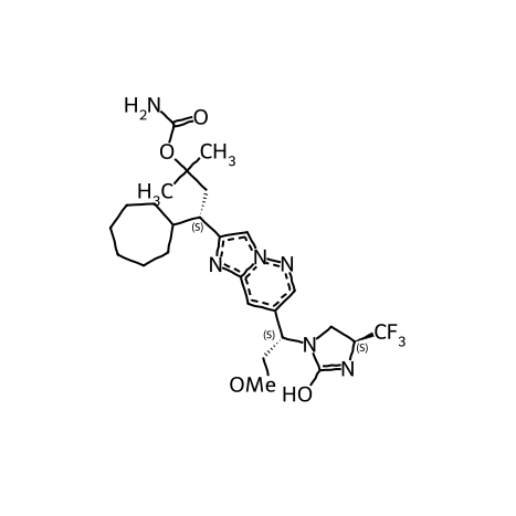 COC[C@H](c1cnn2cc([C@@H](CC(C)(C)OC(N)=O)C3CCCCCC3)nc2c1)N1C[C@@H](C(F)(F)F)N=C1O